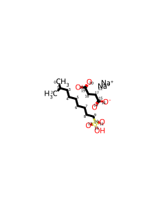 CC(C)CCCCCCCS(=O)(=O)O.O=C([O-])CCC(=O)[O-].[Na+].[Na+]